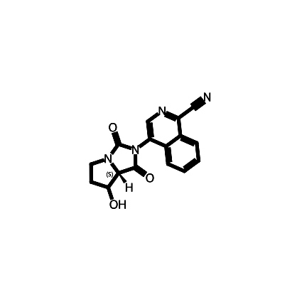 N#Cc1ncc(N2C(=O)[C@@H]3C(O)CCN3C2=O)c2ccccc12